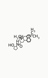 CC(C)n1cc2c3c(cccc31)C1C[C@@H](C(=O)N[C@H]3CCC[C@H]3O)CN(C)[C@@H]1C2